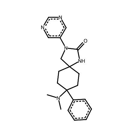 CN(C)C1(c2ccccc2)CCC2(CC1)CN(c1cncnc1)C(=O)N2